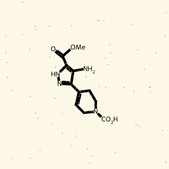 COC(=O)c1[nH]nc(C2=CCN(C(=O)O)CC2)c1N